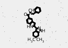 CN(Cc1ccccc1)C(=O)c1ccc2[nH]c(-c3n[nH]c4c3CCC(C)(C)C4)cc2c1